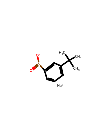 CC(C)(C)c1cccc(S(=O)[O-])c1.[Na+]